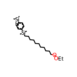 CCOOCCCCCCCCCCC[Si](C)(C)c1ccc([SiH](C)C)cc1